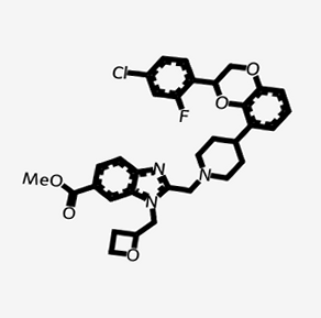 COC(=O)c1ccc2nc(CN3CCC(c4cccc5c4OC(c4ccc(Cl)cc4F)CO5)CC3)n(CC3CCO3)c2c1